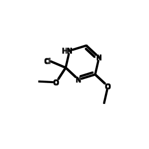 COC1=NC(Cl)(OC)NC=N1